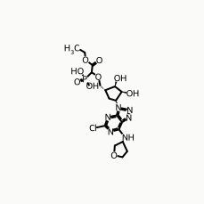 CCOC(=O)C(OC[C@H]1C[C@@H](n2nnc3c(N[C@@H]4CCOC4)nc(Cl)nc32)[C@H](O)[C@@H]1O)P(=O)(O)O